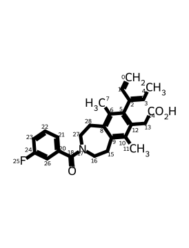 C=C/C(=C\C)c1c(C)c2c(c(C)c1CC(=O)O)CCN(C(=O)c1cccc(F)c1)CC2